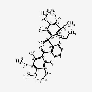 CCOc1cc[c]c(C(=O)c2c(Cl)c(OC)c(OC)c(OC)c2Cl)c1C(=O)c1c(Cl)c(OC)c(OC)c(OC)c1Cl